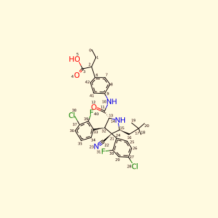 CCC(C(=O)O)c1ccc(NC(=O)[C@@H]2N[C@@H](CC(C)(C)C)[C@](C#N)(c3ccc(Cl)cc3F)[C@H]2c2cccc(Cl)c2F)cc1